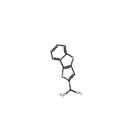 CC(C)c1cc2sc3ccccc3c2s1